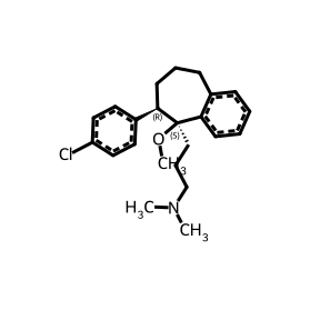 CO[C@]1(CCCN(C)C)c2ccccc2CCC[C@@H]1c1ccc(Cl)cc1